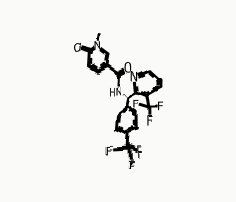 Cn1cc(C(=O)N[C@@H](c2ccc(C(F)(F)F)cc2)c2ncccc2C(F)(F)F)ccc1=O